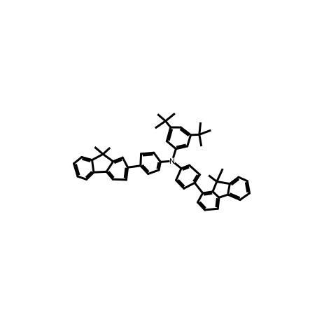 CC(C)(C)c1cc(N(c2ccc(-c3ccc4c(c3)C(C)(C)c3ccccc3-4)cc2)c2ccc(-c3cccc4c3C(C)(C)c3ccccc3-4)cc2)cc(C(C)(C)C)c1